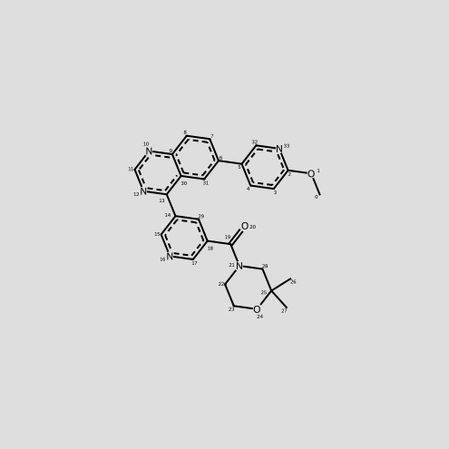 COc1ccc(-c2ccc3ncnc(-c4cncc(C(=O)N5CCOC(C)(C)C5)c4)c3c2)cn1